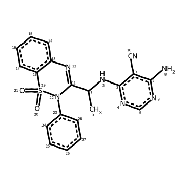 CC(Nc1ncnc(N)c1C#N)C1=Nc2ccccc2S(=O)(=O)N1c1ccccc1